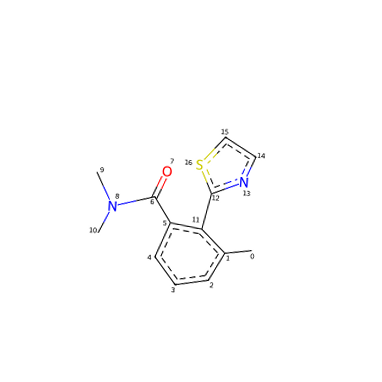 Cc1cccc(C(=O)N(C)C)c1-c1nccs1